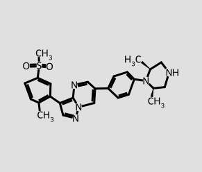 Cc1ccc(S(C)(=O)=O)cc1-c1cnn2cc(-c3ccc(N4[C@H](C)CNC[C@@H]4C)cc3)cnc12